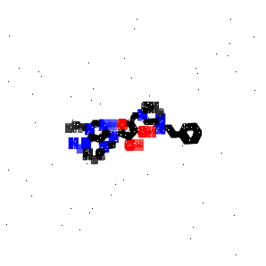 CCCN1CNC2C(C1N)N(C)CN2[C@@H]1O[C@H](CN(C)CCNCCc2ccccc2)[C@@H](O)[C@H]1O